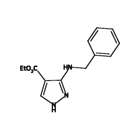 CCOC(=O)c1c[nH]nc1NCc1ccccc1